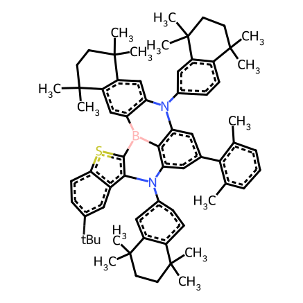 Cc1cccc(C)c1-c1cc2c3c(c1)N(c1ccc4c(c1)C(C)(C)CCC4(C)C)c1c(sc4ccc(C(C)(C)C)cc14)B3c1cc3c(cc1N2c1ccc2c(c1)C(C)(C)CCC2(C)C)C(C)(C)CCC3(C)C